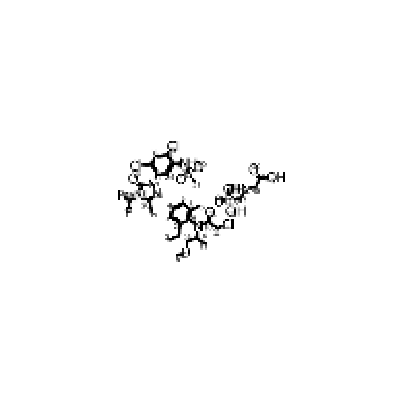 CCc1cccc(C)c1N(C(=O)CCl)C(C)COC.Cc1nn(-c2cc(NS(C)(=O)=O)c(Cl)cc2Cl)c(=O)n1C(F)F.O=C(O)CNCP(=O)(O)O